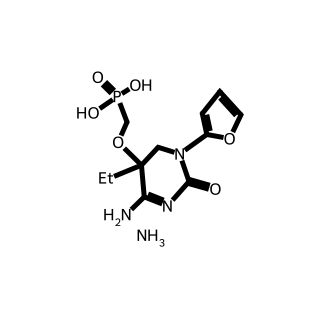 CCC1(OCP(=O)(O)O)CN(c2ccco2)C(=O)N=C1N.N